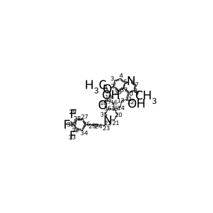 COc1ccc2ncc(C)c([C@H](O)CCC3(CC(=O)O)CCN(CC#Cc4cc(F)c(F)c(F)c4)CC3)c2c1